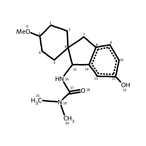 COC1CCC2(CC1)Cc1ccc(O)cc1C2NC(=O)N(C)C